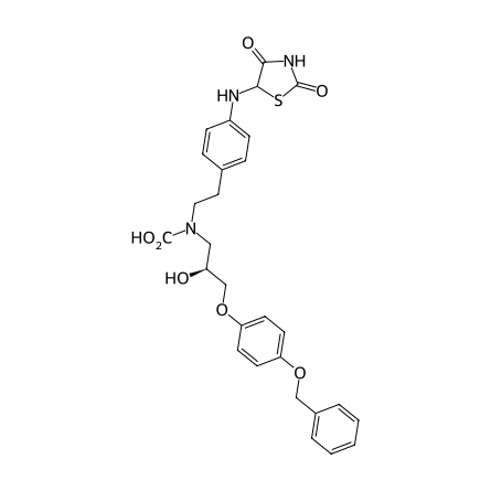 O=C1NC(=O)C(Nc2ccc(CCN(C[C@H](O)COc3ccc(OCc4ccccc4)cc3)C(=O)O)cc2)S1